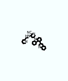 N#Cc1ncc(-n2c3ccccc3c3c(-c4cnc5ccccc5c4)cccc32)cc1NCCc1ccccn1